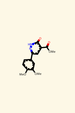 COC(=O)c1cc(-c2ccc(OC)c(OC)c2)n[nH]c1=O